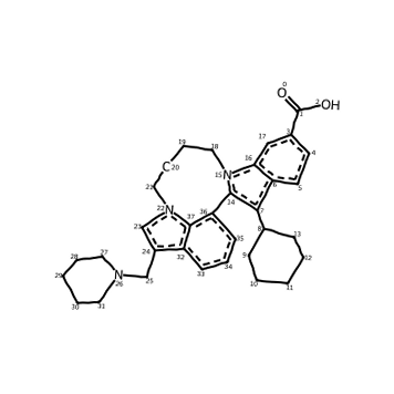 O=C(O)c1ccc2c(C3CCCCC3)c3n(c2c1)CCCCn1cc(CN2CCCCC2)c2cccc-3c21